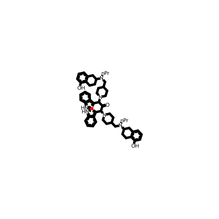 CCCN(CC1CCN(C(C(=O)C(c2n[nH]c3ccccc23)N2CCC(CN(CCC)C3CCc4c(O)cccc4C3)CC2)c2n[nH]c3ccccc23)CC1)C1CCc2c(O)cccc2C1